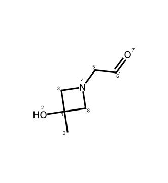 CC1(O)CN(C[C]=O)C1